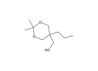 CCCC1(CO)COC(C)(C)OC1